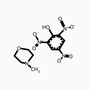 CN1CCOCC1.O=[N+]([O-])c1cc([N+](=O)[O-])c(O)c([N+](=O)[O-])c1